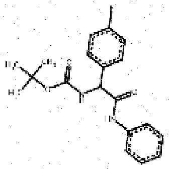 CC(C)(C)OC(=O)NC(C(=O)Nc1ccccc1)c1ccc(F)cc1